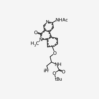 CC(=O)Nc1cc2c(cn1)c(=O)n(C)c1cc(OCC(CC(C)C)NC(=O)OC(C)(C)C)ccc21